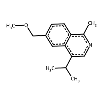 COCc1ccc2c(C)ncc(C(C)C)c2c1